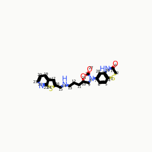 O=C1CSc2ccc(N3CC(CCCNCc4cc5cccnc5s4)OC3=O)cc2N1